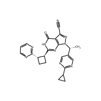 C[C@H](c1cnc(C2CC2)nc1)n1nc(C#N)c2c(=O)[nH]c([C@H]3CC[C@@H]3c3ncccn3)nc21